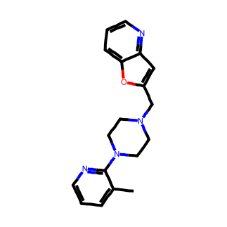 Cc1cccnc1N1CCN(Cc2cc3ncccc3o2)CC1